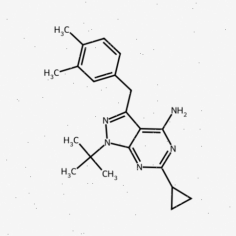 Cc1ccc(Cc2nn(C(C)(C)C)c3nc(C4CC4)nc(N)c23)cc1C